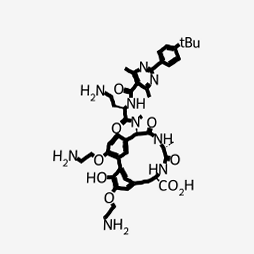 Cc1nc(-c2ccc(C(C)(C)C)cc2)nc(C)c1C(=O)N[C@H](CCN)C(=O)N(C)[C@@H]1C(=O)N[C@H](C)C(=O)N[C@H](C(=O)O)Cc2cc(OCCN)c(O)c(c2)-c2cc1ccc2OCCN